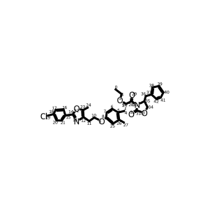 CCO[C@@H](Cc1ccc(OCCc2nc(-c3ccc(Cl)cc3)oc2C)cc1C)C(=O)N1C(=O)OCC1Cc1ccccc1